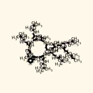 CCCC(C)(C)OC(=O)CCC(=O)N[C@@H](CCNC(=O)OC(C)(C)C)C(=O)N[C@H](C(=O)N[C@@H](CCNC(=O)OC(C)(C)C)C(=O)N[C@H]1CCNC(=O)[C@H]([C@H](C)O)NC(=O)[C@H](CCCNC(=O)OC(C)(C)C)NC(=O)[C@H](CCNC(=O)OC(C)(C)C)NC(=O)[C@H](CC(C)C)NC(=O)[C@@H](Cc2ccccc2)NC(=O)[C@H](CCNC(=O)OC(C)(C)C)NC1)C(C)O